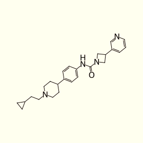 O=C(Nc1ccc(C2CCN(CCC3CC3)CC2)cc1)N1CC(c2cccnc2)C1